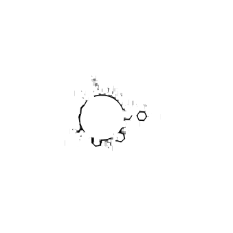 COC[C@H]1C[C@@H]2CC[C@@H](C)[C@@](O)(O2)C(=O)C(=O)N2CCCC[C@H]2C(=O)O[C@H]([C@H](C)C[C@@H]2CC[C@@H](O)[C@H](OC)C2)CC(=O)[C@H](C)C2OC2(C)[C@@H](O)[C@@H](OC)C(=O)[C@H](CN=[N+]=[N-])C[C@H](C=N)/C=C/C=C/C2OC21C=N